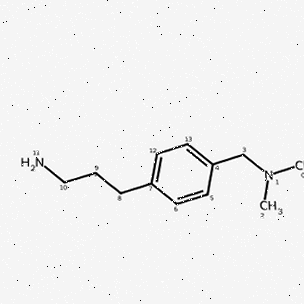 CN(C)Cc1ccc(C[CH]CN)cc1